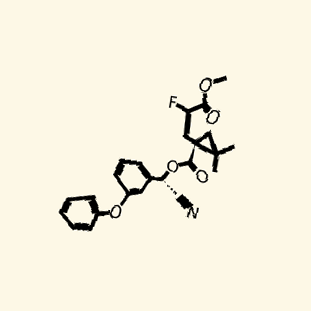 COC(=O)/C(F)=C\[C@]1(C(=O)O[C@H](C#N)c2cccc(Oc3ccccc3)c2)CC1(C)C